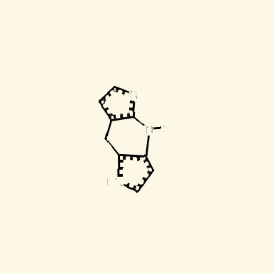 BrN1c2cc[nH]c2Cc2cc[nH]c21